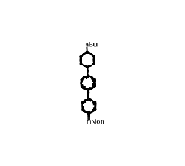 CCCCCCCCCc1ccc(-c2ccc(C3CCC(CCCC)CC3)cc2)cc1